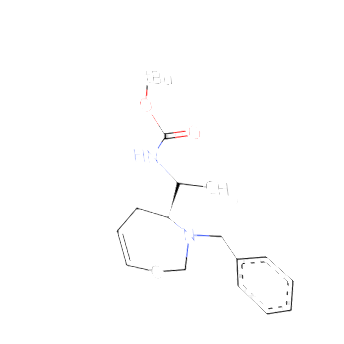 CC(NC(=O)OC(C)(C)C)[C@@H]1CC=CCCN1Cc1ccccc1